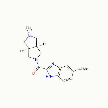 COc1ccc2[nH]c(C(=O)N3C[C@H]4CN(C)C[C@H]4C3)nc2c1